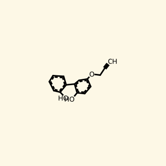 C#CCOc1ccc(O)c(-c2ccccc2O)c1